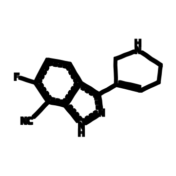 N#Cc1c(F)ccc2c(C3=CCCNC3)n[nH]c12